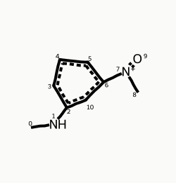 CNc1cccc([N+](C)=O)c1